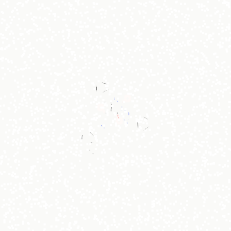 N#Cc1cccc(CN2CCC3(CC2)OCc2c3c(=O)n(CC(NCCCC(=O)O)c3ccccc3)c(=O)n2Cc2c(F)cccc2C(F)(F)F)c1